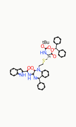 CC(C)(C)OC(=O)N[C@@H](CSCCN1C(=O)[C@H](NC(=O)c2cc3ccccc3[nH]2)N=C(c2ccccc2)c2ccccc21)C(=O)OC(c1ccccc1)c1ccccc1